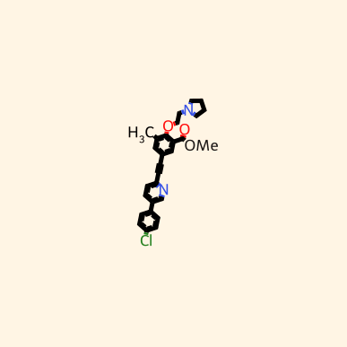 COC(=O)c1cc(C#Cc2ccc(-c3ccc(Cl)cc3)cn2)cc(C)c1OCCN1CCCC1